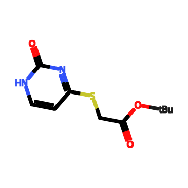 CC(C)(C)OC(=O)CSc1cc[nH]c(=O)n1